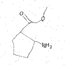 COC(=O)C1CCCC1N